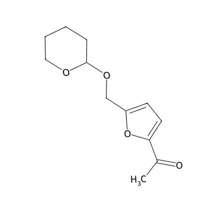 CC(=O)c1ccc(COC2CCCCO2)o1